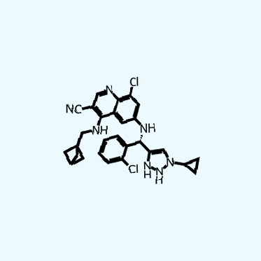 N#Cc1cnc2c(Cl)cc(N[C@H](C3=CN(C4CC4)NN3)c3ccccc3Cl)cc2c1NCC12CC(C1)C2